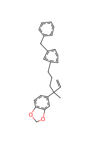 C=CC(C)(CCCc1cccc(Cc2ccccc2)c1)c1ccc2c(c1)OCO2